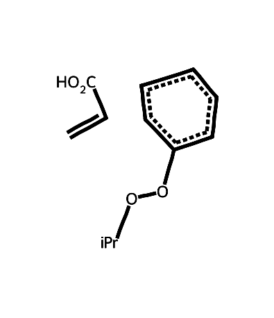 C=CC(=O)O.CC(C)OOc1ccccc1